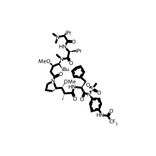 CC[C@H](C)[C@@H]([C@@H](CC(=O)N1CCC[C@H]1[C@H](OC)[C@@H](C)C(=O)N[C@@H](Cc1ccccc1)C(=O)N(c1ccc(NC(=O)C(F)(F)F)cc1)S(C)(=O)=O)OC)N(C)C(=O)[C@@H](NC(=O)[C@H](C(C)C)N(C)C)C(C)C